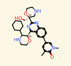 Cc1cc(-c2ccc3nc([C@]4(CO)CNCCO4)nc([C@H]4OCCNC4C4CCCCC4)c3c2)cn(C)c1=O